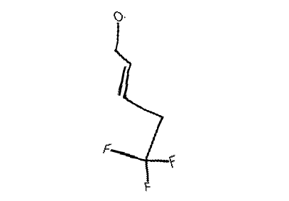 [O]C/C=C/CC(F)(F)F